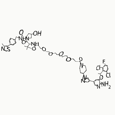 Cc1ncsc1-c1ccc(CNC(=O)[C@@H]2C[C@@H](O)CN2C(=O)C(NC(=O)CCOCCOCCOCCOCCC(=O)N2CCC(n3cc(-c4cnc(N)c(OC(C)c5c(Cl)ccc(F)c5Cl)c4)cn3)CC2)C(C)(C)C)cc1